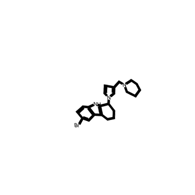 Brc1ccc2[nH]c3c(c2c1)CCCC3n1ccc(CN2CCCCC2)c1